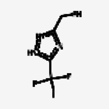 FC(F)(F)c1nc(CS)n[nH]1